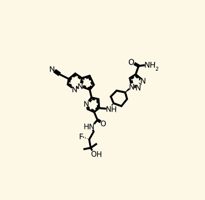 CC(C)(O)[C@H](F)CNC(=O)c1cnc(-c2ccc3cc(C#N)cnn23)cc1N[C@H]1CC[C@H](n2cc(C(N)=O)nn2)CC1